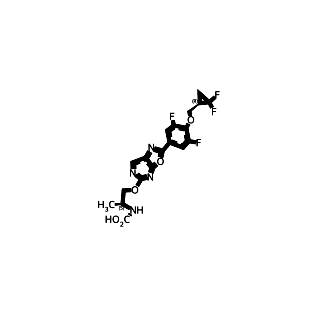 C[C@@H](COc1ncc2nc(-c3cc(F)c(OC[C@H]4CC4(F)F)c(F)c3)oc2n1)NC(=O)O